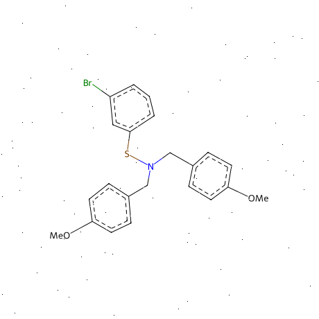 COc1ccc(CN(Cc2ccc(OC)cc2)Sc2cccc(Br)c2)cc1